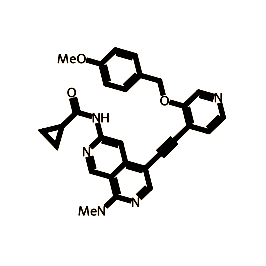 CNc1ncc(C#Cc2ccncc2OCc2ccc(OC)cc2)c2cc(NC(=O)C3CC3)ncc12